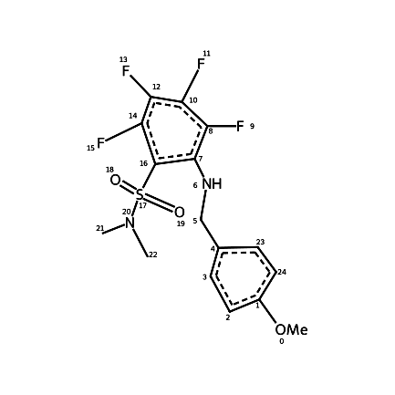 COc1ccc(CNc2c(F)c(F)c(F)c(F)c2S(=O)(=O)N(C)C)cc1